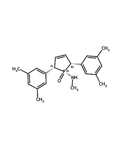 CN[P@@]1(=O)[C@@H](c2cc(C)cc(C)c2)C=C[C@H]1c1cc(C)cc(C)c1